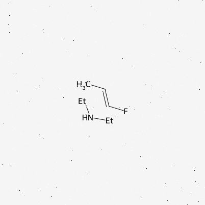 CC=CF.CCNCC